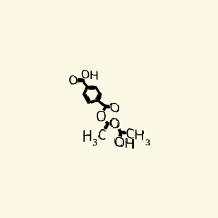 CC(O)OC(C)OC(=O)c1ccc(C(=O)O)cc1